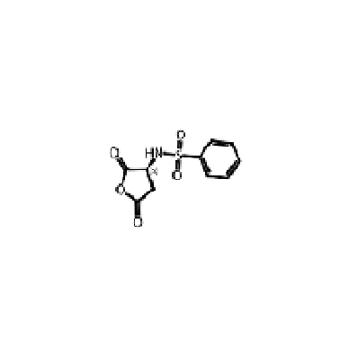 O=C1C[C@H](NS(=O)(=O)c2ccccc2)C(=O)O1